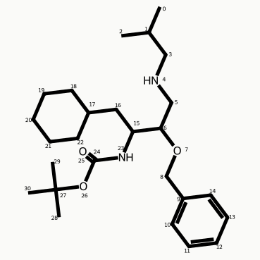 CC(C)CNCC(OCc1ccccc1)C(CC1CCCCC1)NC(=O)OC(C)(C)C